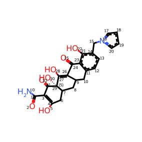 NC(=O)C1=C(O)CC2CC3Cc4ccc(Cn5cccc5)c(O)c4C(=O)C3=C(O)[C@]2(O)C1=O